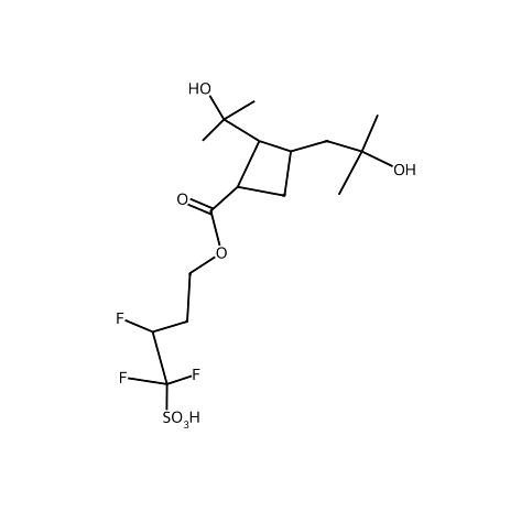 CC(C)(O)CC1CC(C(=O)OCCC(F)C(F)(F)S(=O)(=O)O)C1C(C)(C)O